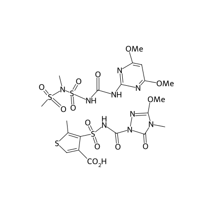 COc1cc(OC)nc(NC(=O)NS(=O)(=O)N(C)S(C)(=O)=O)n1.COc1nn(C(=O)NS(=O)(=O)c2c(C(=O)O)csc2C)c(=O)n1C